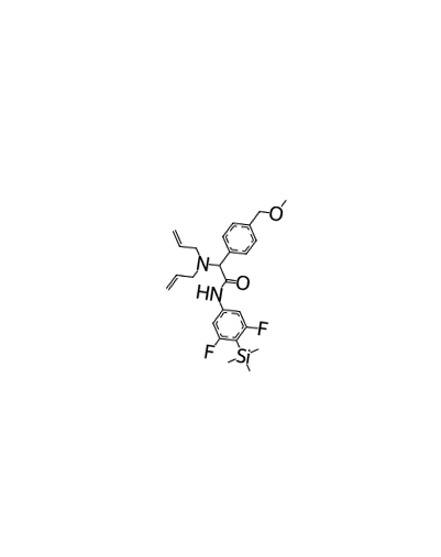 C=CCN(CC=C)C(C(=O)Nc1cc(F)c([Si](C)(C)C)c(F)c1)c1ccc(COC)cc1